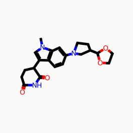 Cn1cc(C2CCC(=O)NC2=O)c2ccc(N3CCC(C4OCCO4)C3)cc21